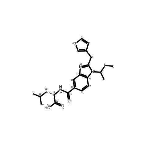 CCC(C)n1c(Cc2ccsc2)nc2cc(C(=O)N[C@@H](CC(C)C)C(=O)O)ccc21